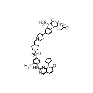 Cc1cc(S(=O)(=O)N2CCC(CN3CCC(c4ccc5c(c4)n(C)c(=O)n5C4CCC(=O)NC4=O)CC3)CC2)ccc1Nc1ncc2ccc(=O)n(C3CCCC3)c2n1